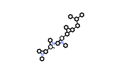 CC1CC(c2ccc3c(c2)c2ccccc2n3-c2ccccc2)=Cc2c1n(-c1ccc3c(c1)c1c(n3-c3ccccc3)C=C(c3ccc4c5ccc(-c6cccc(-c7cc(-c8ccccc8)cc(-c8ccccc8)c7)c6)cc5c5ccccc5c4c3)CC1)c1ccccc21